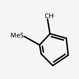 [CH]c1ccccc1SC